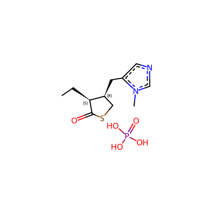 CC[C@@H]1C(=O)SC[C@@H]1Cc1cncn1C.O=P(O)(O)O